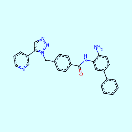 Nc1ccc(-c2ccccc2)cc1NC(=O)c1ccc(Cn2nncc2-c2cccnc2)cc1